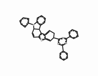 C1=CC2C(c3ccccc3N2c2ccccc2)c2c1oc1c2=CCC(c2nc(-c3ccccc3)nc(-c3ccccc3)n2)C=1